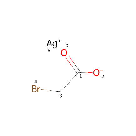 O=C([O-])CBr.[Ag+]